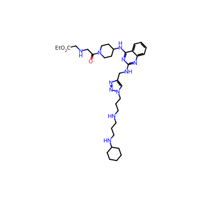 CCOC(=O)CNCC(=O)N1CCC(Nc2nc(NCc3cn(CCCNCCCNC4CCCCC4)nn3)nc3ccccc23)CC1